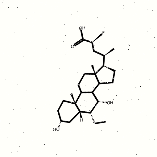 CC[C@H]1[C@@H](O)C2C3CC[C@H]([C@H](C)C[C@H](F)C(=O)O)[C@@]3(C)CCC2[C@@]2(C)CC[C@@H](O)C[C@@H]12